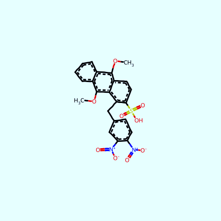 COc1c2ccccc2c(OC)c2c(Cc3ccc([N+](=O)[O-])c([N+](=O)[O-])c3)c(S(=O)(=O)O)ccc12